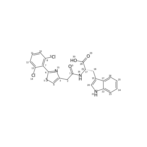 O=C(Cc1csc(-c2c(Cl)cccc2Cl)n1)N[C@@H](Cc1c[nH]c2ccccc12)C(=O)O